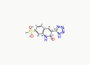 CS(=O)(=O)c1ccc2cc(-c3nnn[nH]3)c(=O)[nH]c2c1